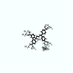 CCN(CC)c1ccc(C(=C/C=C/C(O)(c2ccc(N(CC)CC)cc2)c2ccc(N(CC)CC)cc2)c2ccc(N(CC)CC)cc2)cc1.[O-][Cl+3]([O-])([O-])O